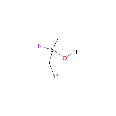 CCCC[Si](C)(I)OCC